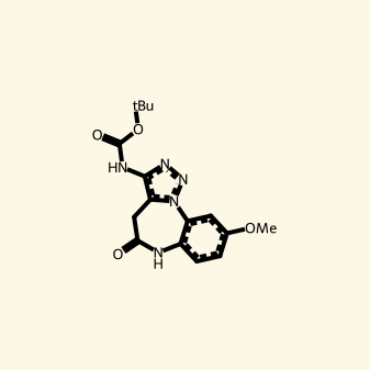 COc1ccc2c(c1)-n1nnc(NC(=O)OC(C)(C)C)c1CC(=O)N2